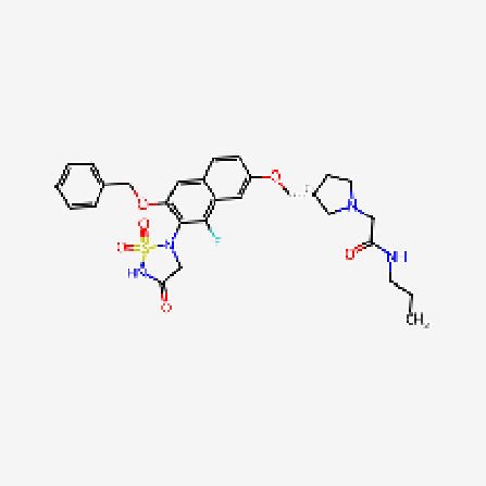 CCCNC(=O)CN1CC[C@@H](COc2ccc3cc(OCc4ccccc4)c(N4CC(=O)NS4(=O)=O)c(F)c3c2)C1